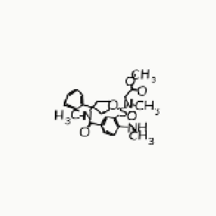 CNc1ccc(C(=O)N(C)C2(c3ccccc3)CCCC2)cc1S(=O)(=O)N(C)CC(=O)OC